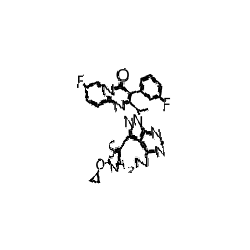 CC(c1nc2ccc(F)cn2c(=O)c1-c1cccc(F)c1)n1nc(-c2cnc(OC3CC3)s2)c2c(N)ncnc21